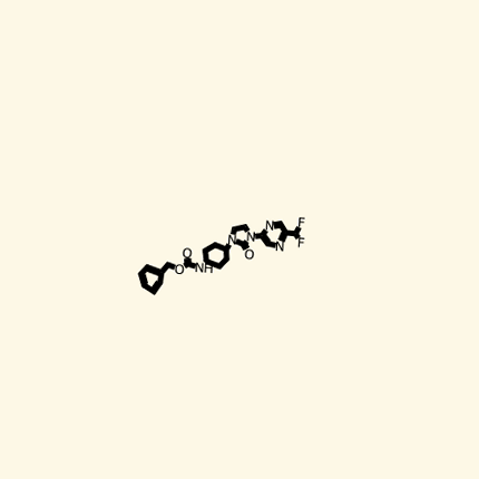 O=C(NC1CCC(N2CCN(c3cnc(C(F)F)cn3)C2=O)CC1)OCc1ccccc1